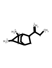 C=C(CC)C1CC2CCC1C1(N)C(C)C21